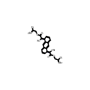 CCCCC(CC)COC(=O)/C(C#N)=c1\cccc2cc3/c(=C(\C#N)C(=O)OCC(CC)CCCC)cccc3cc12